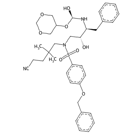 CC(C)(CCC#N)CN(C[C@@H](O)[C@H](Cc1ccccc1)N[C@H](O)OC1COCOC1)S(=O)(=O)c1ccc(OCc2ccccc2)cc1